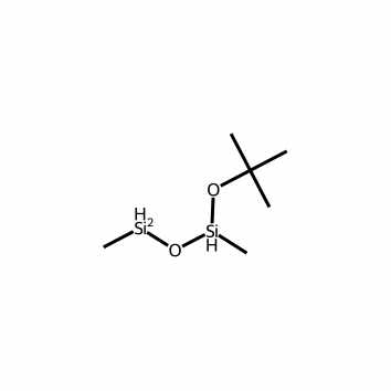 C[SiH2]O[SiH](C)OC(C)(C)C